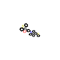 c1ccc([Si]2(c3ccc4sc5ccccc5c4c3)c3ccccc3N(c3ccc4c(c3)Oc3cccc5c3B4c3ccccc3S5)c3ccccc32)cc1